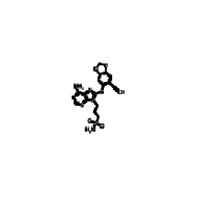 C#Cc1cc2c(cc1Sc1nc3c(N)ncnc3n1CCCS(N)(=O)=O)OCO2